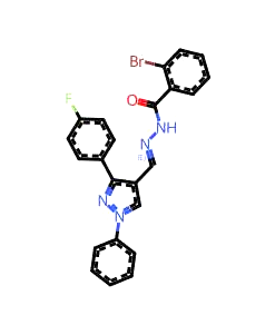 O=C(N/N=C/c1cn(-c2ccccc2)nc1-c1ccc(F)cc1)c1ccccc1Br